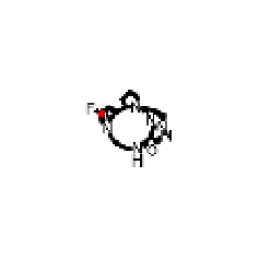 O=C1NCCCn2cc(F)cc(c2=O)C2CCCN2c2ccn3ncc1c3n2